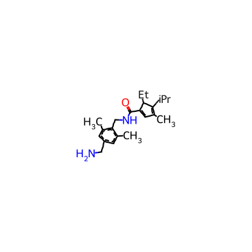 CCC1C(C(=O)NCc2c(C)cc(CN)cc2C)=CC(C)=C1C(C)C